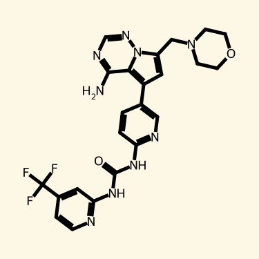 Nc1ncnn2c(CN3CCOCC3)cc(-c3ccc(NC(=O)Nc4cc(C(F)(F)F)ccn4)nc3)c12